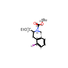 CCOC(=O)C(Cc1ccccc1I)N(C)C(=O)OC(C)(C)C